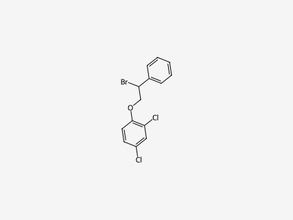 Clc1ccc(OCC(Br)c2ccccc2)c(Cl)c1